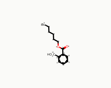 CCC(C)CCCCCOC(=O)c1ccccc1C(=O)O